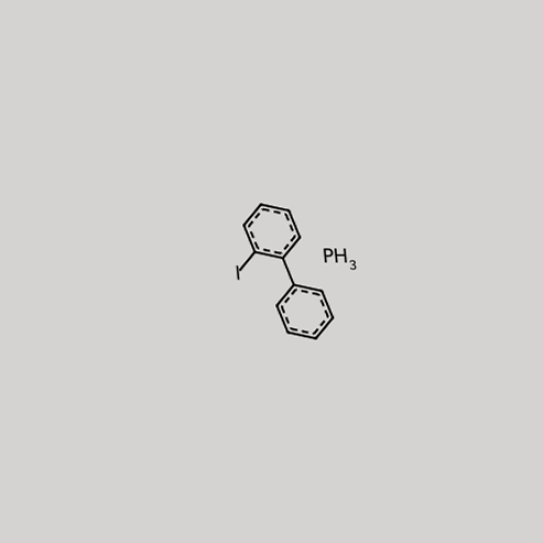 Ic1ccccc1-c1ccccc1.P